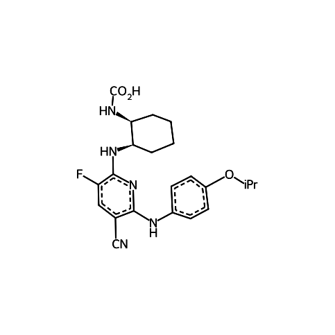 CC(C)Oc1ccc(Nc2nc(N[C@@H]3CCCC[C@@H]3NC(=O)O)c(F)cc2C#N)cc1